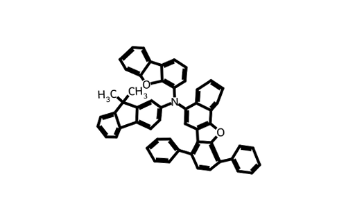 CC1(C)c2ccccc2-c2ccc(N(c3cc4c(oc5c(-c6ccccc6)ccc(-c6ccccc6)c54)c4ccccc34)c3cccc4c3oc3ccccc34)cc21